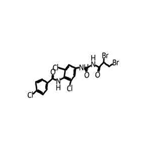 O=C(NC(=O)C(Br)CBr)Nc1cc(Cl)c(NC(=O)c2ccc(Cl)cc2)c(Cl)c1